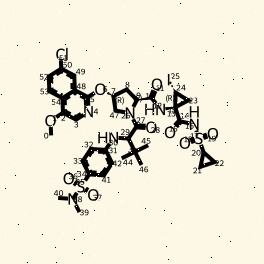 COc1cnc(O[C@@H]2C[C@@H](C(=O)N[C@]3(C(=O)NS(=O)(=O)C4CC4)C[C@H]3I)N(C(=O)C(Nc3ccc(S(=O)(=O)N(C)C)cc3)C(C)(C)C)C2)c2cc(Cl)ccc12